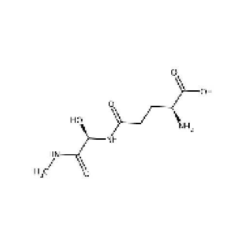 CNC(=O)[C@@H](O)NC(=O)CC[C@H](N)C(=O)O